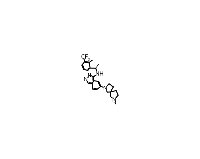 Cc1c([C@@H](C)Nc2nncc3ccc(N4CCC5(CCN(C)C5)C4)cc23)cccc1C(F)(F)F